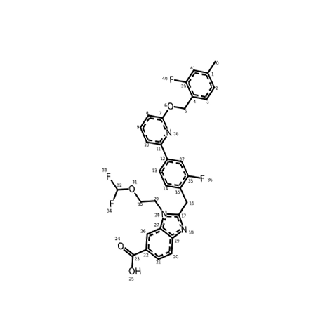 Cc1ccc(COc2cccc(-c3ccc(Cc4nc5ccc(C(=O)O)cc5n4CCOC(F)F)c(F)c3)n2)c(F)c1